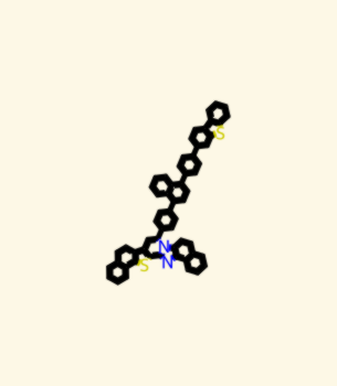 c1ccc2c(c1)ccc1c2nc2c3sc4c5ccccc5ccc4c3cc(-c3ccc(-c4ccc(-c5ccc(-c6ccc7c(c6)sc6ccccc67)cc5)c5ccccc45)cc3)n12